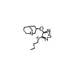 CCCCSc1nsnc1OC1CC2CCCN(C2)C1